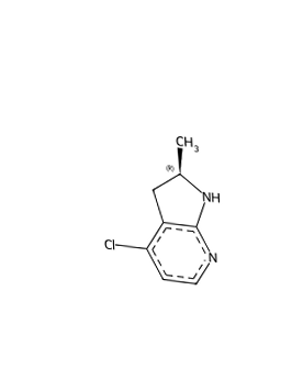 C[C@@H]1Cc2c(Cl)ccnc2N1